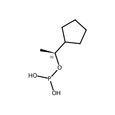 C[C@H](OP(O)O)C1CCCC1